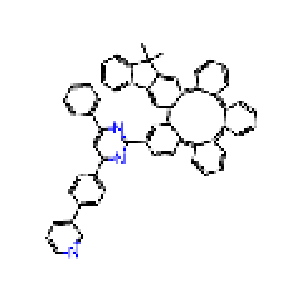 CC1(C)c2ccccc2-c2cc3c4cc(-c5nc(-c6ccccc6)cc(-c6ccc(-c7cccnc7)cc6)n5)ccc4c4ccccc4c4ccccc4c4ccccc4c3cc21